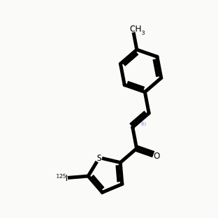 Cc1ccc(/C=C/C(=O)c2ccc([125I])s2)cc1